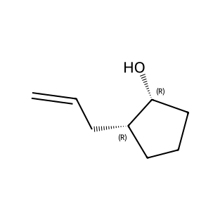 C=CC[C@H]1CCC[C@H]1O